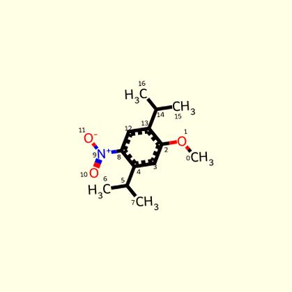 COc1cc(C(C)C)c([N+](=O)[O-])cc1C(C)C